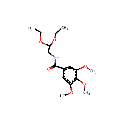 CCOC(CNC(=O)c1cc(OC)c(OC)c(OC)c1)OCC